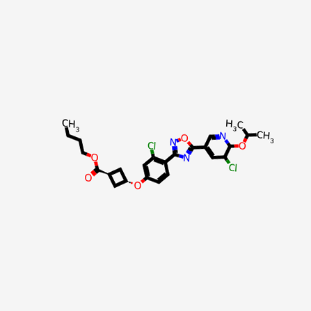 CCCCOC(=O)[C@H]1C[C@H](Oc2ccc(-c3noc(C4=CC(Cl)C(OC(C)C)N=C4)n3)c(Cl)c2)C1